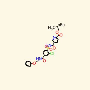 CCCCC(C)COC(=O)c1ccc(C(=O)NS(=O)(=O)c2ccc(C(=O)NCCOc3ccccc3)cc2Cl)cn1